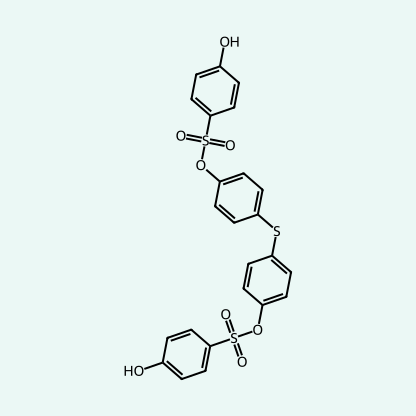 O=S(=O)(Oc1ccc(Sc2ccc(OS(=O)(=O)c3ccc(O)cc3)cc2)cc1)c1ccc(O)cc1